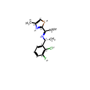 CN/C(=N\[C@H](C)c1cccc(F)c1Cl)c1nc(C)cs1